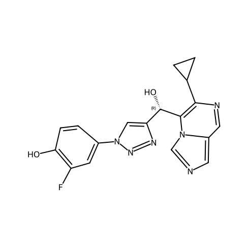 Oc1ccc(-n2cc([C@H](O)c3c(C4CC4)ncc4cncn34)nn2)cc1F